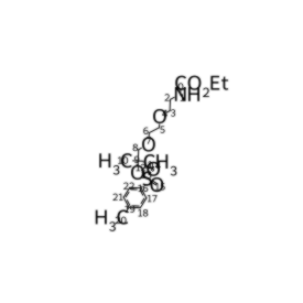 CCOC(=O)NCCOCCOCC(C)(C)OS(=O)(=O)c1ccc(C)cc1